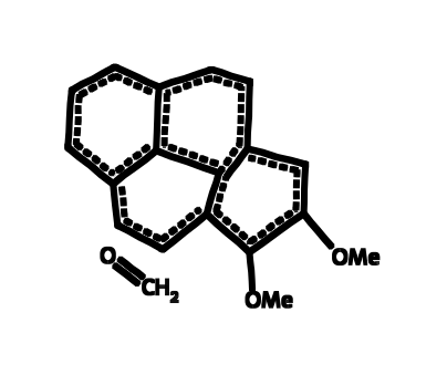 C=O.COc1cc2ccc3cccc4ccc(c1OC)c2c34